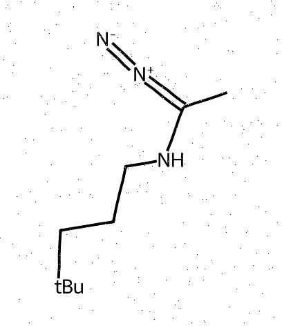 CC(=[N+]=[N-])NCCCC(C)(C)C